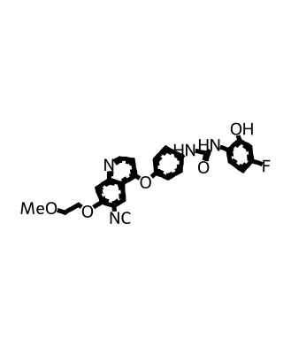 [C-]#[N+]c1cc2c(Oc3ccc(NC(=O)Nc4ccc(F)cc4O)cc3)ccnc2cc1OCCOC